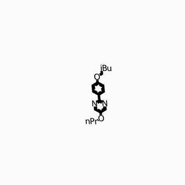 CCCOc1cnc(-c2ccc(OCC(C)CC)cc2)nc1